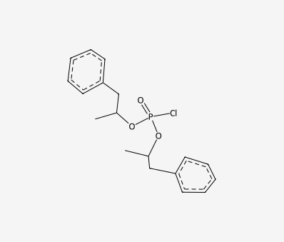 CC(Cc1ccccc1)OP(=O)(Cl)OC(C)Cc1ccccc1